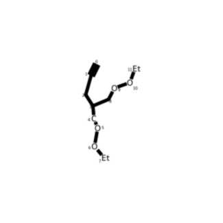 C#CCC(COOCC)COOCC